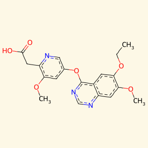 CCOc1cc2c(Oc3cnc(CC(=O)O)c(OC)c3)ncnc2cc1OC